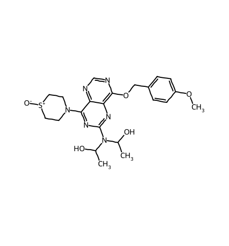 COc1ccc(COc2ncnc3c(N4CC[S+]([O-])CC4)nc(N(C(C)O)C(C)O)nc23)cc1